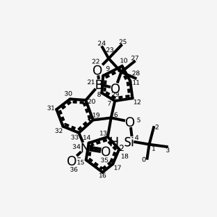 CC(C)(C)[SiH2]OC(c1ccccc1)(c1ccccc1)c1c(B2OC(C)(C)C(C)(C)O2)cccc1[N+](=O)[O-]